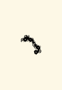 O=C(c1ccccc1)c1cccc(OCOCCCN2CCC(c3noc4cc(F)ccc34)CC2)c1